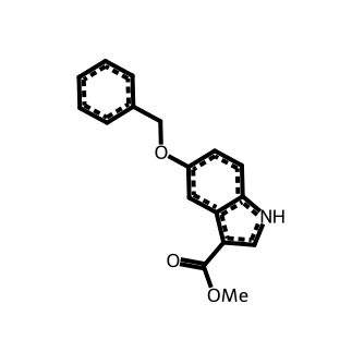 COC(=O)c1c[nH]c2ccc(OCc3ccccc3)cc12